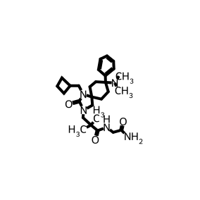 CN(C)C1(c2ccccc2)CCC2(CC1)CN(CC(C)(C)C(=O)NCC(N)=O)C(=O)N2CC1CCC1